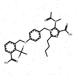 CCCCc1nc(C(=O)O)c(N(C)C(C)=O)n1Cc1ccc(OCc2cccc(C(=O)O)c2C(F)(F)F)cc1